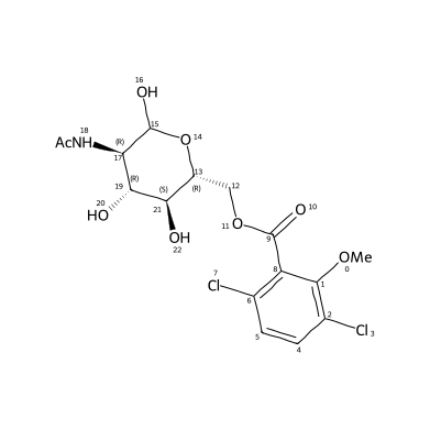 COc1c(Cl)ccc(Cl)c1C(=O)OC[C@H]1OC(O)[C@H](NC(C)=O)[C@@H](O)[C@@H]1O